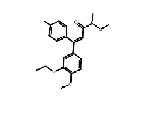 CCOc1cc(C(=CC(=O)N(C)OC)c2ccc(F)cc2)ccc1OC